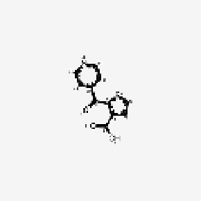 O=C(O)c1ccsc1C(=O)c1ccncc1